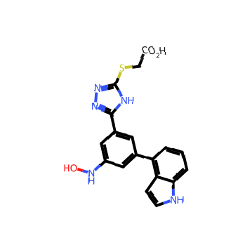 O=C(O)CSc1nnc(-c2cc(NO)cc(-c3cccc4[nH]ccc34)c2)[nH]1